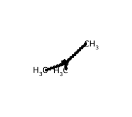 CCCCCCCCCCCCCCCCCn1cc[n+](CCCCCCCCCCCC)c1CCCC